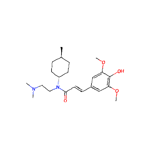 COc1cc(C=CC(=O)N(CCN(C)C)[C@H]2CC[C@H](C)CC2)cc(OC)c1O